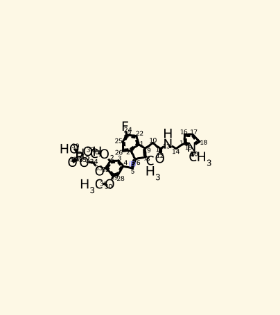 COc1cc(/C=C2/C(C)=C(CC(=O)NCc3cccn3C)c3cc(F)ccc32)cc(OC)c1OCOP(=O)(O)O